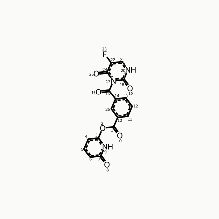 O=C(Oc1cccc(=O)[nH]1)c1cccc(C(=O)n2c(=O)[nH]cc(F)c2=O)c1